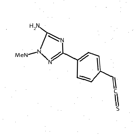 CNn1nc(-c2ccc(C=C=S)cc2)nc1N